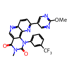 COc1ncc(-c2ccc3ncc4c(=O)n(C)c(=O)n(-c5cccc(C(F)(F)F)c5)c4c3n2)cn1